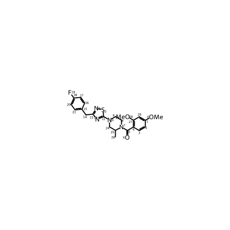 COc1ccc(C(=O)N2CCN(c3nc(Cc4ccc(F)cc4)ns3)CC2C)c(OC)c1